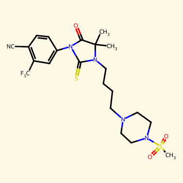 CC1(C)C(=O)N(c2ccc(C#N)c(C(F)(F)F)c2)C(=S)N1CCCCN1CCN(S(C)(=O)=O)CC1